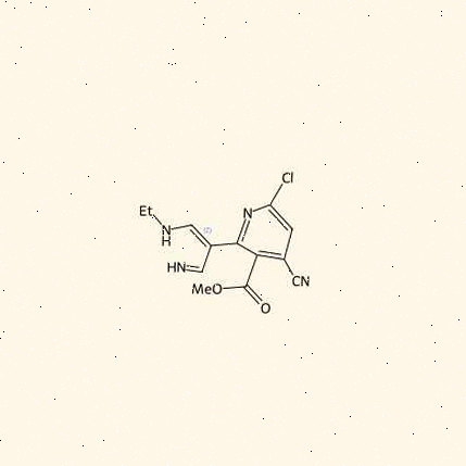 CCN/C=C(\C=N)c1nc(Cl)cc(C#N)c1C(=O)OC